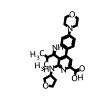 CC(C)C(=N)c1c(-c2ccc(N3CCOCC3)cc2)cc(C(=O)O)nc1NC1CCOC1